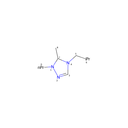 CCCN1N=CN(CC(C)C)C1C